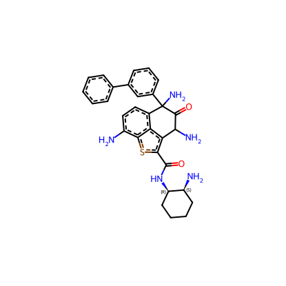 Nc1ccc2c3c(c(C(=O)N[C@@H]4CCCC[C@@H]4N)sc13)C(N)C(=O)C2(N)c1cccc(-c2ccccc2)c1